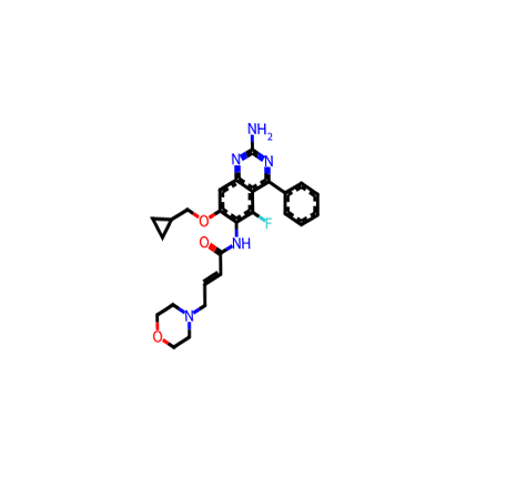 Nc1nc(-c2ccccc2)c2c(F)c(NC(=O)C=CCN3CCOCC3)c(OCC3CC3)cc2n1